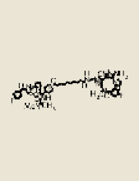 CN[C@H](C)C(=O)N[C@@H](C(=O)N1CCC[C@@H]1C1=NC(C(=O)c2ccc(F)cc2)CS1)C1CCN(C(=O)CCCCCCCCC(=O)NCCn2nc3c(c2C#N)-c2cnc(N)c(c2)N2CCC[C@@H]2c2cc(F)ccc2C(=O)N(C)C3)CC1